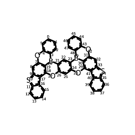 c1ccc2c(c1)Oc1cc3sc4ccccc4c3c3c1B2c1cc2c(cc1O3)Oc1c3c(cc4sc5ccccc5c14)Oc1ccccc1B23